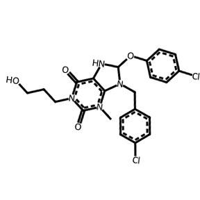 Cn1c2c(c(=O)n(CCCO)c1=O)NC(Oc1ccc(Cl)cc1)N2Cc1ccc(Cl)cc1